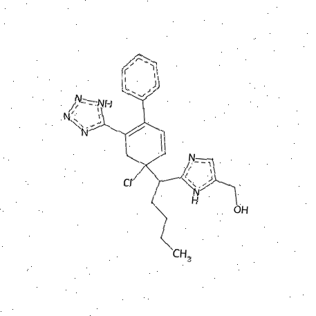 CCCCC(c1ncc(CO)[nH]1)C1(Cl)C=CC(c2ccccc2)=C(c2nnn[nH]2)C1